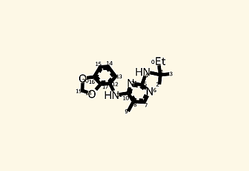 CCC(C)(C)Nc1ncc(C)c(Nc2cccc3c2OCO3)n1